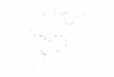 CNC(=O)c1ccccc1Nc1cc(Nc2cn(C)nc2C#N)ncc1C(F)(F)F